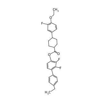 CCOc1ccc(C2CCC(C(=O)Oc3ccc(-c4ccc(CC)cc4)c(F)c3F)CC2)cc1F